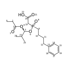 CCC(=O)O[C@@H](OP(=O)(CCCCc1ccccc1)CC(=O)O)C(C)C